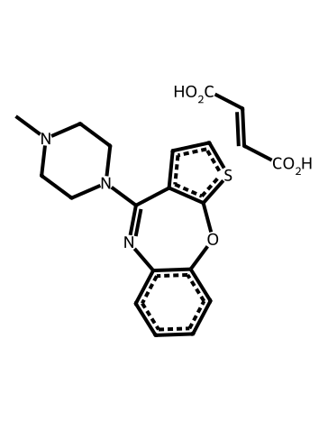 CN1CCN(C2=Nc3ccccc3Oc3sccc32)CC1.O=C(O)/C=C/C(=O)O